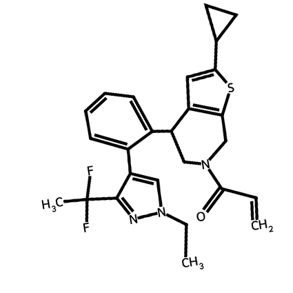 C=CC(=O)N1Cc2sc(C3CC3)cc2C(c2ccccc2-c2cn(CC)nc2C(C)(F)F)C1